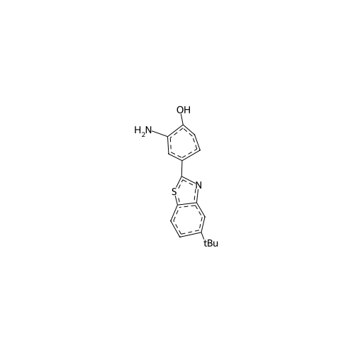 CC(C)(C)c1ccc2sc(-c3ccc(O)c(N)c3)nc2c1